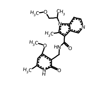 COCC(C)n1c(C)c(C(=O)NCc2c(OC)cc(C)[nH]c2=O)c2cnccc21